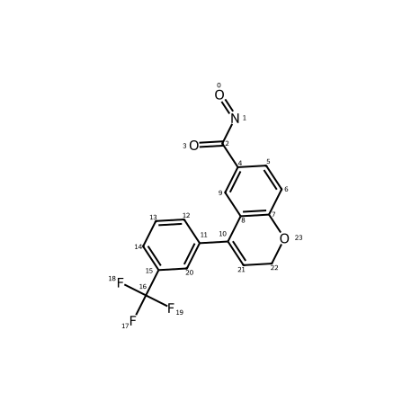 O=NC(=O)c1ccc2c(c1)C(c1cccc(C(F)(F)F)c1)=CCO2